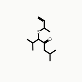 C=CC(C)SC(C(=O)CC(C)C)C(C)C